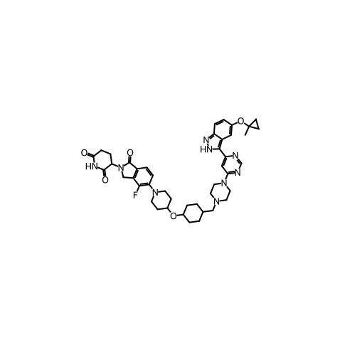 CC1(Oc2ccc3n[nH]c(-c4cc(N5CCN(CC6CCC(OC7CCN(c8ccc9c(c8F)CN(C8CCC(=O)NC8=O)C9=O)CC7)CC6)CC5)ncn4)c3c2)CC1